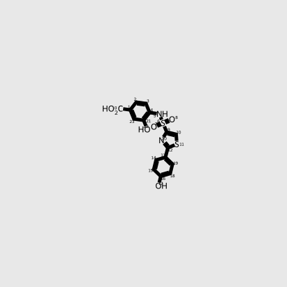 O=C(O)c1ccc(NS(=O)(=O)c2csc(-c3ccc(O)cc3)n2)c(O)c1